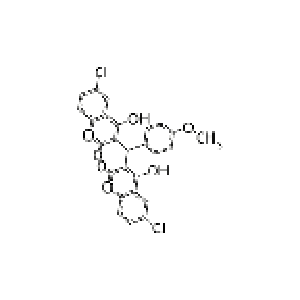 COc1ccc(C(c2c(O)c3cc(Cl)ccc3oc2=O)c2c(O)c3cc(Cl)ccc3oc2=O)cc1